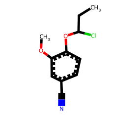 CCC(Cl)Oc1ccc(C#N)cc1OC